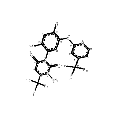 Nn1c(C(F)(F)F)cc(=O)n(-c2cc(Oc3cc(C(F)(F)F)ccn3)c(Cl)cc2F)c1=O